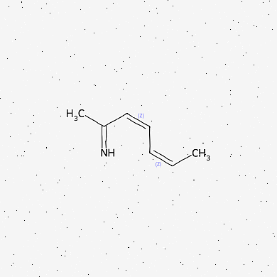 C/C=C\C=C/C(C)=N